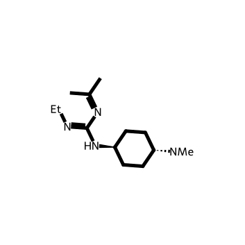 CC/N=C(\N=C(C)C)N[C@H]1CC[C@H](NC)CC1